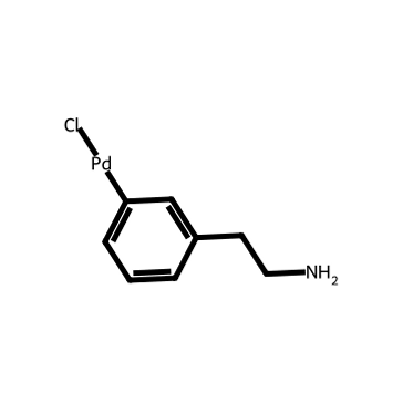 NCCc1ccc[c]([Pd][Cl])c1